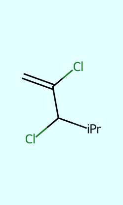 C=C(Cl)C(Cl)C(C)C